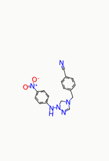 N#Cc1ccc(CN2C=NN(Nc3ccc([N+](=O)[O-])cc3)C2)cc1